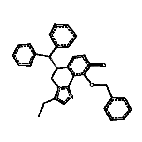 CCc1cnc2n1C[C@H](C(c1ccccc1)c1ccccc1)n1ccc(=O)c(OCc3ccccc3)c1-2